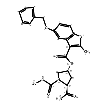 Cc1oc2ccc(OCc3ccccc3)cc2c1C(=O)N[C@@H]1C[C@@H](C(N)=O)N(C(=O)OC(C)(C)C)C1